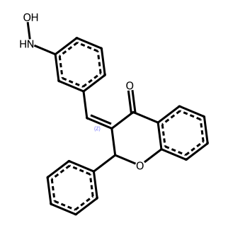 O=C1/C(=C\c2cccc(NO)c2)C(c2ccccc2)Oc2ccccc21